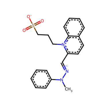 CN(/N=C/c1ccc2ccccc2[n+]1CCCS(=O)(=O)[O-])c1ccccc1